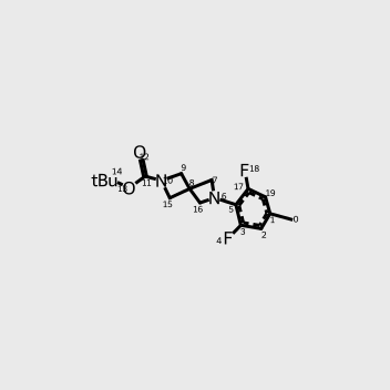 Cc1cc(F)c(N2CC3(CN(C(=O)OC(C)(C)C)C3)C2)c(F)c1